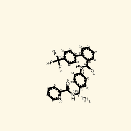 C[C@H](NC(=O)c1ccccn1)c1ccc(NC(=O)c2ccccc2-c2ccc(C(F)(F)F)cc2)cc1